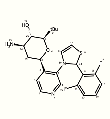 CC(C)(C)[C@H]1O[C@@H](c2ccncc2N2C=CSC2c2c(F)cccc2F)C[C@@H](N)[C@@H]1O